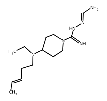 C/C=C/CCN(CC)C1CCN(C(=N)N/N=C/N)CC1